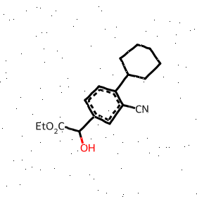 CCOC(=O)C(O)c1ccc(C2CCCCC2)c(C#N)c1